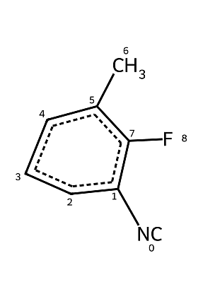 [C-]#[N+]c1cccc(C)c1F